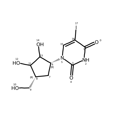 O=c1[nH]c(=O)n([C@@H]2C[C@H](CO)C(O)C2O)cc1I